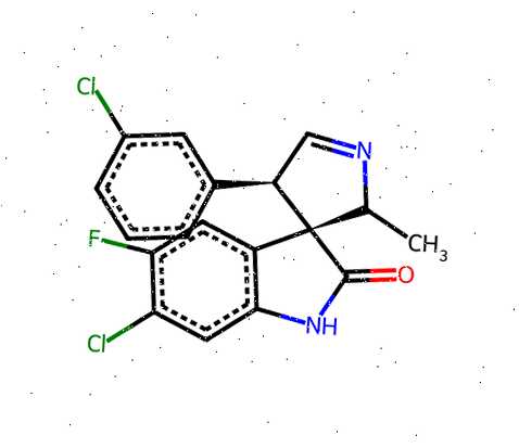 CC1N=C[C@H](c2cccc(Cl)c2)[C@@]12C(=O)Nc1cc(Cl)c(F)cc12